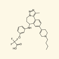 CCCCN1CC=C(c2ccc3c(c2)C(Nc2cccc(Cl)c2)CCn2nnc(C)c2-3)CC1.O=C(O)C(F)(F)F